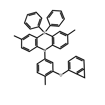 Cc1ccc2c(c1)S(c1ccccc1)(c1ccccc1)c1cc(C)ccc1N2c1ccc(C)c(Oc2cccc3c2C3)c1